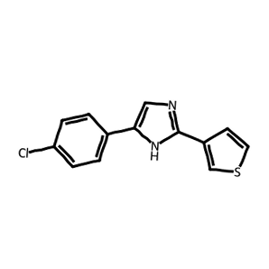 Clc1ccc(-c2cnc(-c3ccsc3)[nH]2)cc1